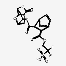 O=C1OC2C(OC(=O)C3C4C=CC(C4)C3C(=O)OCC(F)(F)S(=O)(=O)O)C3CC1C2O3